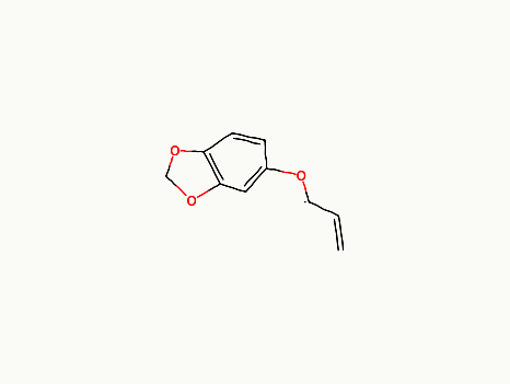 C=C[CH]Oc1ccc2c(c1)OCO2